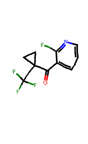 O=C(c1cccnc1F)C1(C(F)(F)F)CC1